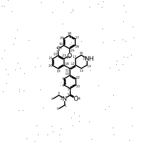 CCN(CC)C(=O)c1ccc(C(=C2CCNCC2)c2cccc3c2Oc2ccccc2S3)cc1